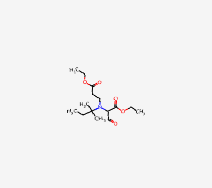 CCOC(=O)CCN(C(C=O)C(=O)OCC)C(C)(C)CC